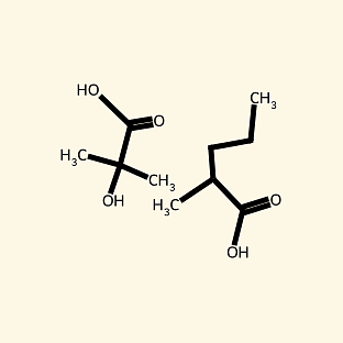 CC(C)(O)C(=O)O.CCCC(C)C(=O)O